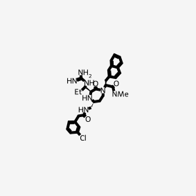 CCC(NC(=N)N)[C@@H]1N[C@@H](CNC(=O)Cc2cccc(Cl)c2)CCN([C@@H](Cc2ccc3ccccc3c2)C(=O)NC)C1=O